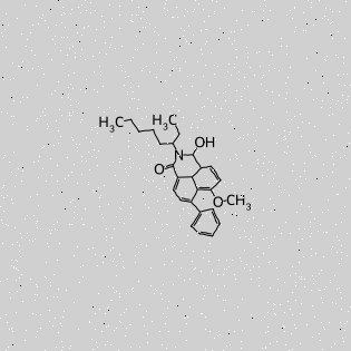 CCCCCC(CC)N1C(=O)C2=CC=C(c3ccccc3)C3=C(OC)C=CC(C23)C1O